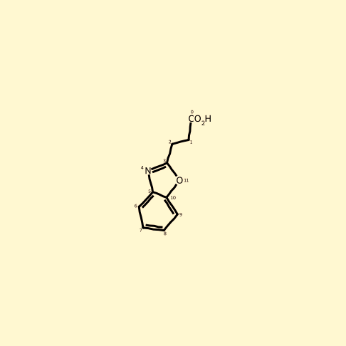 O=C(O)CCc1nc2ccccc2o1